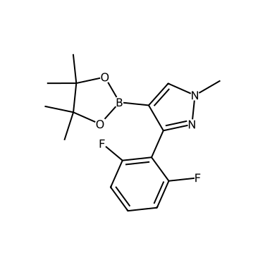 Cn1cc(B2OC(C)(C)C(C)(C)O2)c(-c2c(F)cccc2F)n1